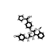 COc1ccccc1C(NC(=O)Nc1ccc(Cl)cc1)C(=O)Nc1ccc(C(=N)N2CCCC2)cc1